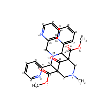 COC(=O)C12CN(C)CC(C(=O)OC)(C1=O)C(c1ccccn1)N(Cc1ccccn1)C2c1ccccn1